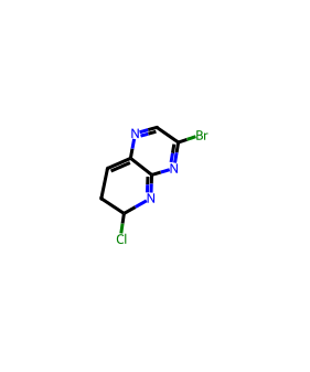 ClC1CC=c2ncc(Br)nc2=N1